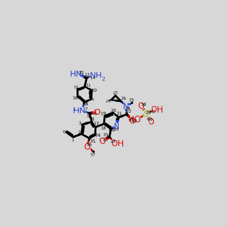 C=Cc1cc(C(=O)Nc2ccc(C(=N)N)cc2)c(-c2ccc(C(=O)N(C)C3CC3)nc2C(=O)O)cc1OC.O=S(=O)(O)O